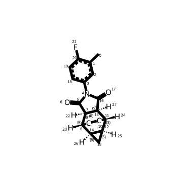 Cc1cc(N2C(=O)[C@@H]3[C@@H]4CC[C@@H]([C@H]5C[C@H]54)[C@@H]3C2=O)ccc1F